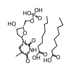 CCCCCCCC(=O)O.CCCCCCCC(=O)O.Cc1cn([C@H]2C[C@H](O)[C@@H](COP(=O)(O)O)O2)c(=O)[nH]c1=O